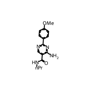 CCCNC(=O)c1cnc(-c2ccc(OC)cc2)nc1N